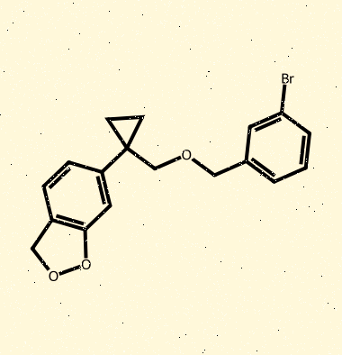 Brc1cccc(COCC2(c3ccc4c(c3)OOC4)CC2)c1